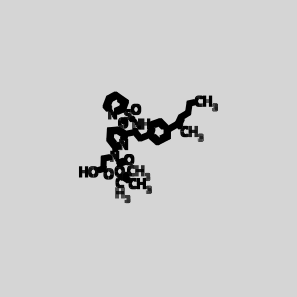 CCCC=C(C)c1ccc(CC(NS(=O)(=O)c2ccccn2)c2cccc(N(CC(=O)O)C(=O)OC(C)(C)C)n2)cc1